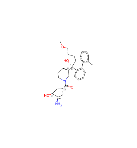 COCCCC[C@@](O)(c1ccccc1-c1ccccc1C)[C@@H]1CCCN(C(=O)[C@H]2C[C@@H](N)[C@@H](O)C2)C1